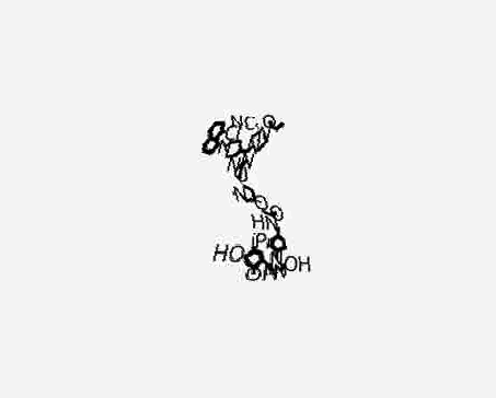 C=CC(=O)N1CCN(c2nc(OC[C@@H]3C[C@@H](OCC(=O)NCc4ccc(-n5c(O)nnc5-c5cc(C(C)C)c(O)cc5O)cc4)CN3C)nc3c2CCN(c2cccc4cccc(Cl)c24)C3)C[C@@H]1CC#N